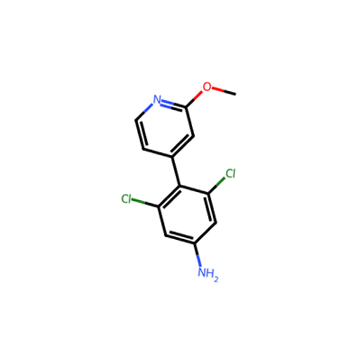 COc1cc(-c2c(Cl)cc(N)cc2Cl)ccn1